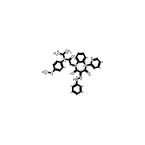 COc1ccc(N(C(=O)Cn2c(=O)c(=NNc3ccccc3)c(=O)n(-c3ccccn3)c3ccccc32)C(C)C)cc1